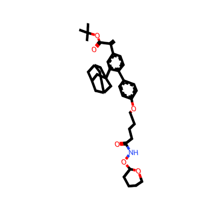 C=C(C(=O)OC(C)(C)C)c1ccc(-c2ccc(OCCCCC(=O)NOC3CCCCO3)cc2)c(C23CC4CC(CC(C4)C2)C3)c1